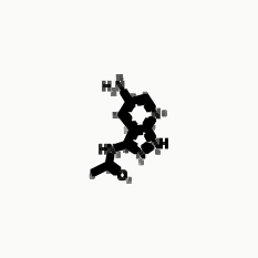 CC(=O)Nc1n[nH]c2ncc(N)cc12